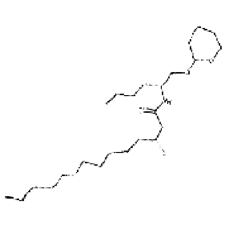 CCCCCCCCCCC[C@@H](C)CC(=O)N[C@H](CCCC)COC1CCCCO1